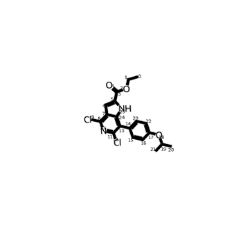 CCOC(=O)c1cc2c(Cl)nc(Cl)c(-c3ccc(OC(C)C)cc3)c2[nH]1